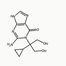 Nc1nc2[nH]cnc2c(=O)n1C(CO)(CO)C1CC1